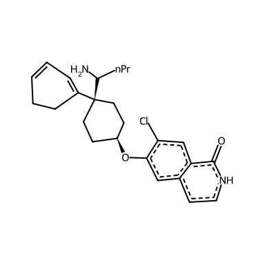 CCCC(N)[C@]1(C2=CC=CCC2)CC[C@H](Oc2cc3cc[nH]c(=O)c3cc2Cl)CC1